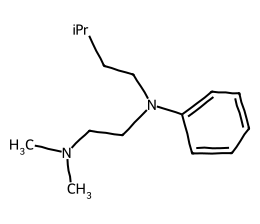 CC(C)CCN(CCN(C)C)c1ccccc1